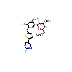 CC(=O)OCC1OC(c2ccc(Cl)c(Cc3ccc(-c4ccc(F)nc4)s3)c2)[C@H](OC(C)=O)C(OC(C)=O)C1C